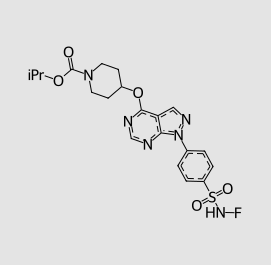 CC(C)OC(=O)N1CCC(Oc2ncnc3c2cnn3-c2ccc(S(=O)(=O)NF)cc2)CC1